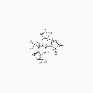 CN1N=C(c2ccco2)C(=C2C=C(C(C)(C)C)C(=O)C(C(C)(C)C)=C2)C1=O